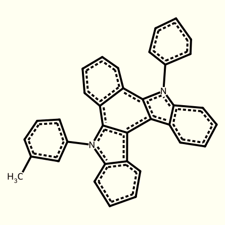 Cc1cccc(-n2c3ccccc3c3c4c5ccccc5n(-c5ccccc5)c4c4ccccc4c32)c1